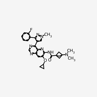 CN(C)C12CC(C(=O)Nc3nc4c(-c5cn(C)nc5-c5ccccc5F)ncnc4cc3OC3CC3)(C1)C2